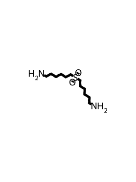 NCCCCCCS(=O)(=O)CCCCCCN